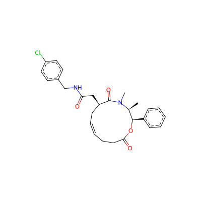 C[C@H]1[C@@H](c2ccccc2)OC(=O)CC/C=C\C[C@@H](CC(=O)NCc2ccc(Cl)cc2)C(=O)N1C